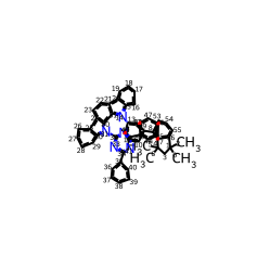 CC1(C)CC(C)(C)c2c(-c3cccc(-n4c5ccccc5c5ccc6c7ccccc7n(-c7nc(-c8ccccc8)nc(-c8ccccc8)n7)c6c54)c3)cccc21